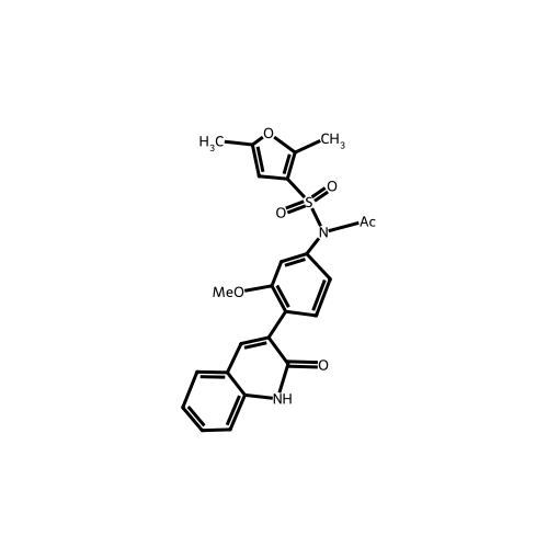 COc1cc(N(C(C)=O)S(=O)(=O)c2cc(C)oc2C)ccc1-c1cc2ccccc2[nH]c1=O